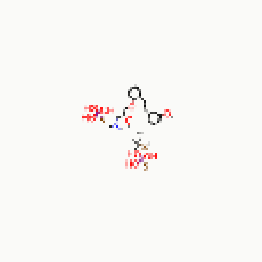 CC.COc1cccc(CCc2ccccc2OCC(CN(C)C)OC)c1.CSC(C)(C)C.OP(O)(O)=S.OP(O)(O)=S